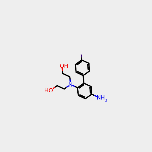 Nc1ccc(N(CCO)CCO)c(-c2ccc(I)cc2)c1